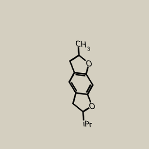 CC1Cc2cc3c(cc2O1)OC(C(C)C)C3